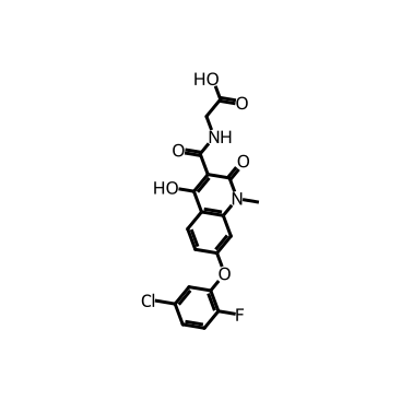 Cn1c(=O)c(C(=O)NCC(=O)O)c(O)c2ccc(Oc3cc(Cl)ccc3F)cc21